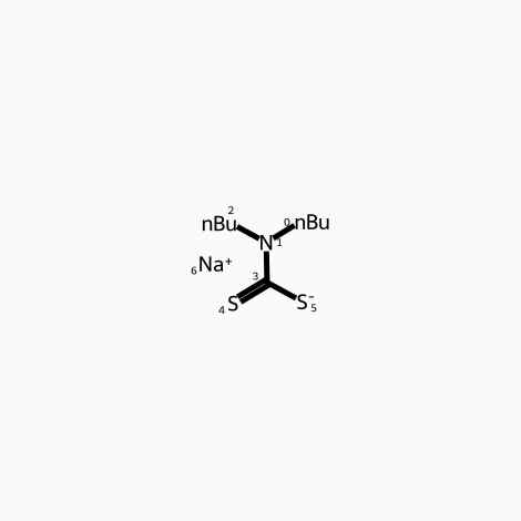 CCCCN(CCCC)C(=S)[S-].[Na+]